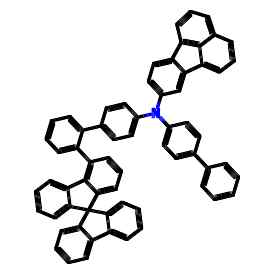 c1ccc(-c2ccc(N(c3ccc(-c4ccccc4-c4cccc5c4-c4ccccc4C54c5ccccc5-c5ccccc54)cc3)c3ccc4c(c3)-c3cccc5cccc-4c35)cc2)cc1